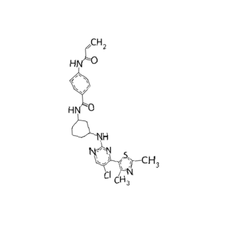 C=CC(=O)Nc1ccc(C(=O)NC2CCCC(Nc3ncc(Cl)c(-c4sc(C)nc4C)n3)C2)cc1